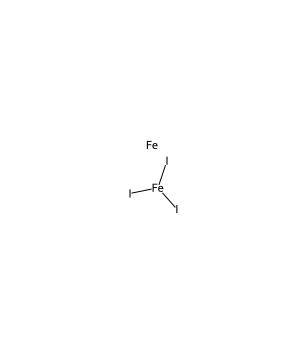 [Fe].[I][Fe]([I])[I]